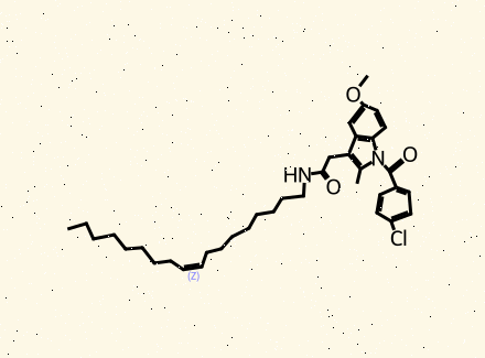 CCCCCCCC/C=C\CCCCCCCCNC(=O)Cc1c(C)n(C(=O)c2ccc(Cl)cc2)c2ccc(OC)cc12